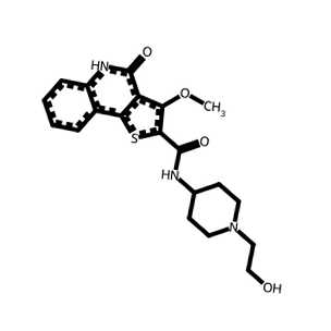 COc1c(C(=O)NC2CCN(CCO)CC2)sc2c1c(=O)[nH]c1ccccc12